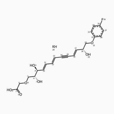 O=C(O)COC[C@@H](O)[C@@H](O)/C=C/C=C/C#C/C=C/[C@@H](O)COc1ccc(F)cc1.[KH]